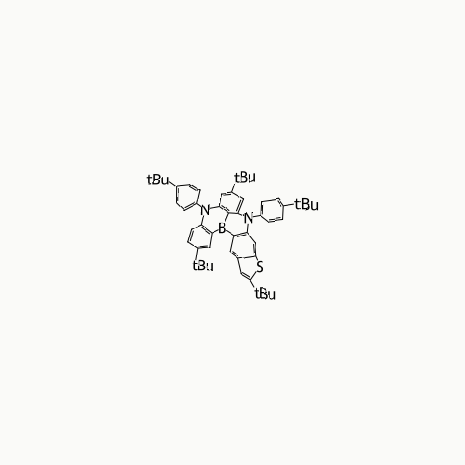 CC(C)(C)c1ccc(N2c3ccc(C(C)(C)C)cc3B3c4cc5cc(C(C)(C)C)sc5cc4N(c4ccc(C(C)(C)C)cc4)c4cc(C(C)(C)C)cc2c43)cc1